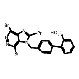 CC(C)c1nc2c(Br)nnc(Br)c2n1Cc1ccc(-c2ccccc2C(=O)O)cc1